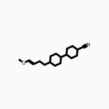 COC=CCCC1CCC(C2CCC(C#N)CC2)CC1